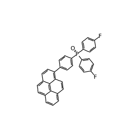 O=P(c1ccc(F)cc1)(c1ccc(F)cc1)c1ccc(-c2ccc3ccc4cccc5ccc2c3c45)cc1